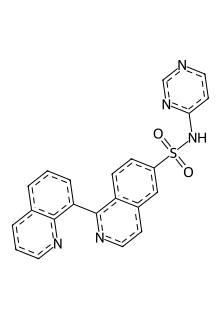 O=S(=O)(Nc1ccncn1)c1ccc2c(-c3cccc4cccnc34)nccc2c1